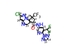 C[C@]1(C(F)(F)F)C[C@H](C(=O)Nc2cnc(-n3nccn3)c(C(F)F)c2)c2cnc3cc(Cl)nn3c21